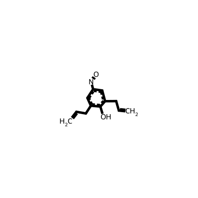 C=CCc1cc(N=O)cc(CC=C)c1O